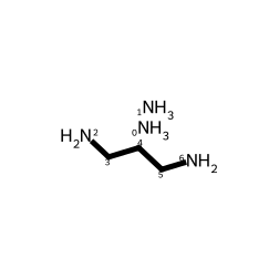 N.N.NCCCN